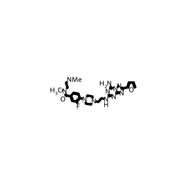 CNCCN(C)C(=O)c1ccc(N2CCN(CCNc3nc(N)n4nc(-c5ccco5)nc4n3)CC2)c(F)c1